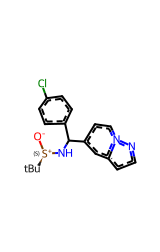 CC(C)(C)[S@@+]([O-])NC(c1ccc(Cl)cc1)c1ccn2nccc2c1